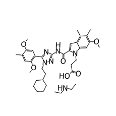 CCNCC.COc1cc(-c2nc(NC(=O)c3cc4c(C)c(C)c(OC)cc4n3CCC(=O)O)nn2CCC2CCCCC2)c(OC)cc1C